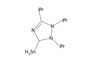 CC(C)C1=N[CH]([SnH3])N(C(C)C)N1C(C)C